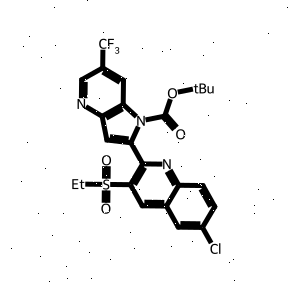 CCS(=O)(=O)c1cc2cc(Cl)ccc2nc1-c1cc2ncc(C(F)(F)F)cc2n1C(=O)OC(C)(C)C